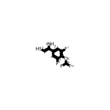 N/C(=C\S)c1cc(F)c(OC(F)F)c(F)c1